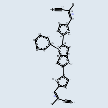 C/C(C#N)=C/c1ccc(-c2cc3c(cc(-c4ccc(/C=C(/C)C#N)o4)n3-c3ccccc3)s2)o1